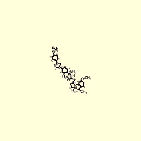 COc1ccc(C(C)C)c(N2CCS/C2=N\C(=O)NC(C)(C)c2ccc(-c3cnn(-c4ccc(OC(F)(F)F)cc4)n3)cc2)c1